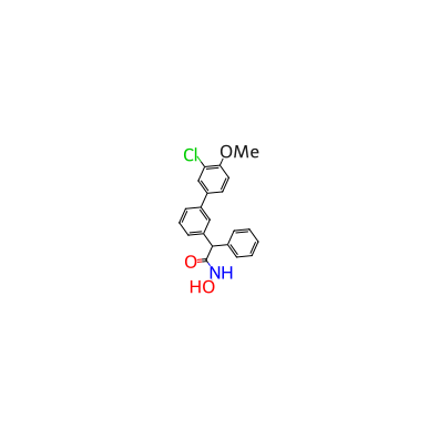 COc1ccc(-c2cccc(C(C(=O)NO)c3ccccc3)c2)cc1Cl